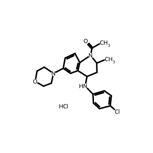 CC(=O)N1c2ccc(N3CCOCC3)cc2C(Nc2ccc(Cl)cc2)CC1C.Cl